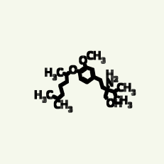 COc1cc(CC[C@@](N)(CO)C(C)C)ccc1OC(C)CCCC(C)C